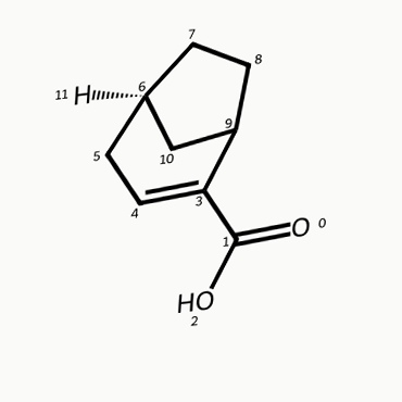 O=C(O)C1=CC[C@H]2CCC1C2